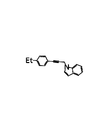 CCc1ccc(C#CCn2ccc3ccccc32)cc1